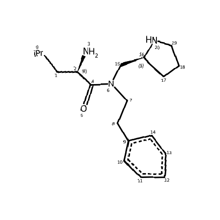 CC(C)C[C@@H](N)C(=O)N(CCc1ccccc1)C[C@@H]1CCCN1